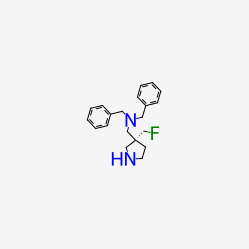 FC[C@]1(CN(Cc2ccccc2)Cc2ccccc2)CCNC1